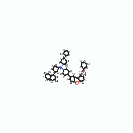 c1ccc(-c2ccc(N(c3ccc(-c4ccc5oc6ccc7nc(-c8ccccc8)oc7c6c5c4)cc3)c3cccc(-c4cccc5ccccc45)c3)cc2)cc1